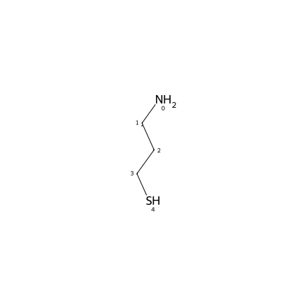 N[CH]CCS